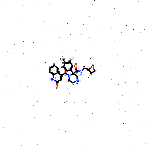 O=C(c1cc(=O)[nH]c2ccccc12)N1CCNCC1(C(=O)NCC1CCO1)c1ccc(Cl)c(Cl)c1